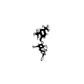 CNC1=NC(=O)SC1=Cc1cc(OC)c(OCc2ccc(C(F)(F)F)cc2C(F)(F)F)cc1Br